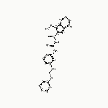 O=C(NC(=S)Nc1cccc(OCCc2ccccc2)c1)c1sc2ccccc2c1CCl